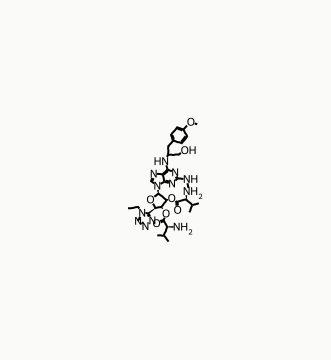 CCn1nnnc1[C@H]1O[C@@H](n2cnc3c(NC(CO)Cc4ccc(OC)cc4)nc(NC)nc32)[C@H](OC(=O)[C@@H](N)C(C)C)[C@@H]1OC(=O)[C@@H](N)C(C)C